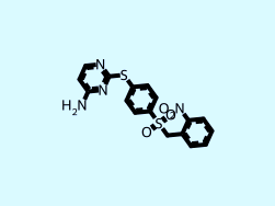 Nc1ccnc(Sc2ccc(S(=O)(=O)Cc3ccccc3[N+](=O)[O-])cc2)n1